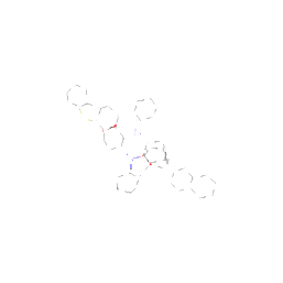 c1ccc(N(c2ccc(-c3ccc4ccccc4c3)cc2)c2ccccc2-n2c3ccccc3c3ccccc32)c(-c2ccc3sc4ccccc4c3c2)c1